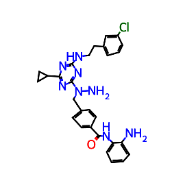 Nc1ccccc1NC(=O)c1ccc(CN(N)c2nc(NCCc3cccc(Cl)c3)nc(C3CC3)n2)cc1